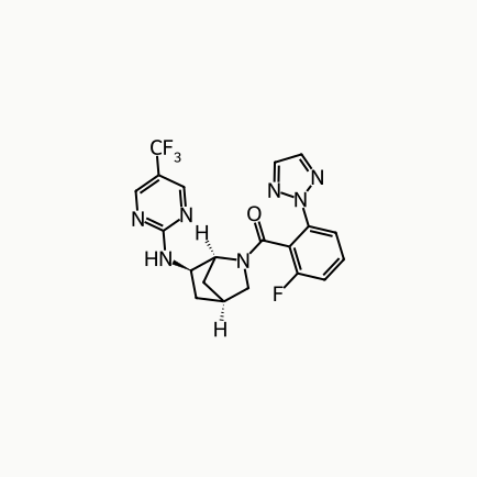 O=C(c1c(F)cccc1-n1nccn1)N1C[C@H]2C[C@@H](Nc3ncc(C(F)(F)F)cn3)[C@@H]1C2